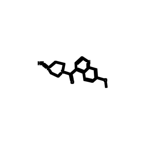 COc1ccc2c(C(=O)N3CCS(=N)CC3)ccnc2c1